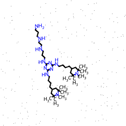 CN1C(C)(C)CC(CCCCNc2nc(NCCCCC3CC(C)(C)N(C)C(C)(C)C3)nc(NCCCNCCNCCCN)n2)CC1(C)C